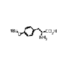 CC(C)(C)Oc1ccc(C[C@H](N)C(=O)O)cc1